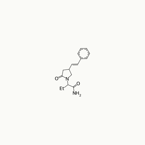 CCC(C(N)=O)N1CC(C=Cc2ccccc2)CC1=O